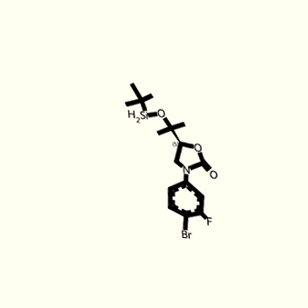 CC(C)(C)[SiH2]OC(C)(C)[C@@H]1CN(c2ccc(Br)c(F)c2)C(=O)O1